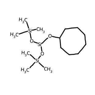 C[Si](C)(C)O[Si](OC1CCCCCCC1)O[Si](C)(C)C